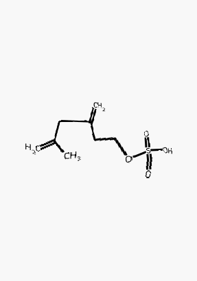 C=C(C)CC(=C)CCOS(=O)(=O)O